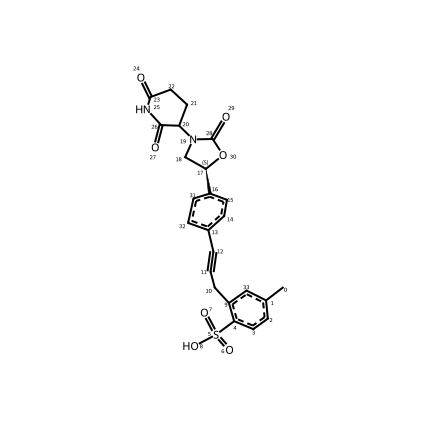 Cc1ccc(S(=O)(=O)O)c(CC#Cc2ccc([C@H]3CN(C4CCC(=O)NC4=O)C(=O)O3)cc2)c1